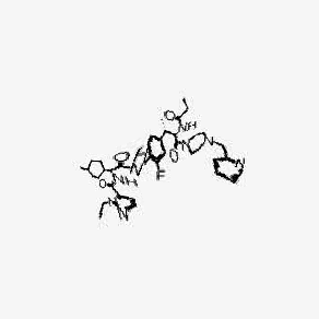 CCC(=O)N[C@@H](C(=O)N1CCN(Cc2ccccn2)CC1)[C@@H](C)c1ccc(NC(=O)[C@@H](NC(=O)c2ccnn2CC)C2CCC(C)CC2)c(F)c1